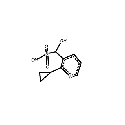 O=NS(=O)(=O)C(O)c1cccnc1C1CC1